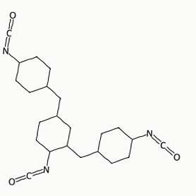 O=C=NC1CCC(CC2CCC(N=C=O)C(CC3CCC(N=C=O)CC3)C2)CC1